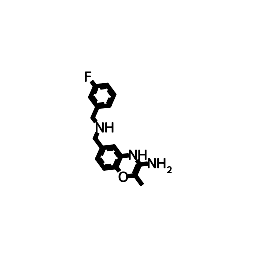 CC1=C(N)Nc2cc(CNCc3cccc(F)c3)ccc2O1